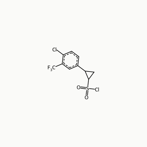 O=S(=O)(Cl)C1CC1c1ccc(Cl)c(C(F)(F)F)c1